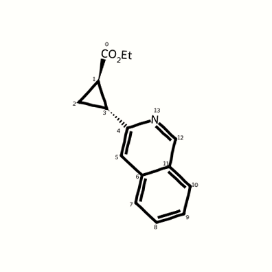 CCOC(=O)[C@@H]1C[C@H]1c1cc2ccccc2cn1